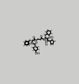 O=C(CCNC(=O)[C@H](Cc1ccccc1)NC(=O)N1CCC(O)CC1)N[C@@H](CC1CCCCC1)[C@@H](O)[C@@H](O)C1CCCC1